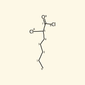 CCCCCC(Cl)C(=O)Cl